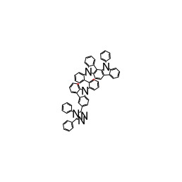 c1ccc(-c2nnc(-c3ccc4c(c3)c3ccccc3n4-c3ccccc3-c3ccccc3-n3c4ccccc4c4c3ccc3c5ccccc5n(-c5ccccc5)c34)n2-c2ccccc2)cc1